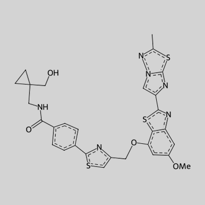 COc1cc(OCc2csc(-c3ccc(C(=O)NCC4(CO)CC4)cc3)n2)c2sc(-c3cn4nc(C)sc4n3)nc2c1